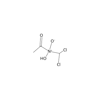 CC(=O)[N+]([O-])(O)C(Cl)Cl